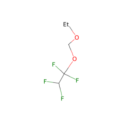 CCOCOC(F)(F)C(F)F